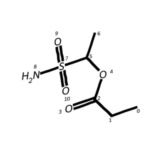 CCC(=O)OC(C)S(N)(=O)=O